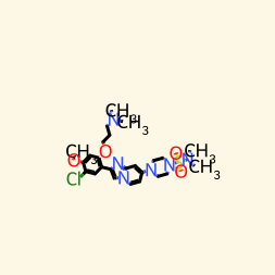 COc1cc(OCCCN(C)C)c(-c2cn3ccc(N4CCN(S(=O)(=O)N(C)C)CC4)cc3n2)cc1Cl